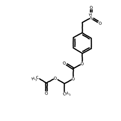 CC(=O)OC(C)OC(=O)Oc1ccc(C[SH](=O)=O)cc1